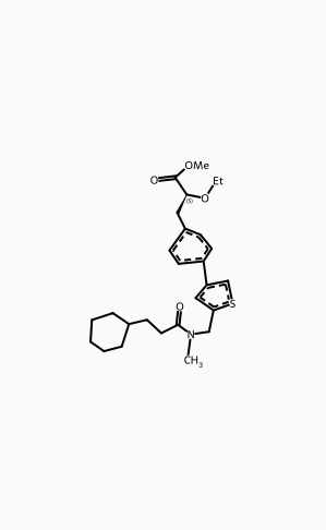 CCO[C@@H](Cc1ccc(-c2csc(CN(C)C(=O)CCC3CCCCC3)c2)cc1)C(=O)OC